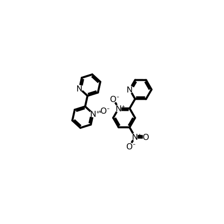 O=[N+]([O-])c1cc[n+]([O-])c(-c2ccccn2)c1.[O-][n+]1ccccc1-c1ccccn1